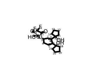 O=C(OC1CC2SC1C(C1(O)CCCC1)C2C1(O)CCCC1)C(F)(F)S(=O)(=O)O